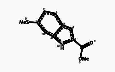 COC(=O)c1cc2ccc(SC)cc2[nH]1